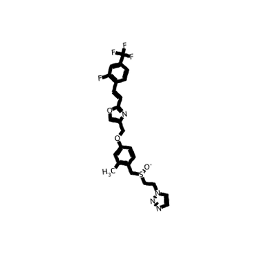 Cc1cc(OCc2coc(/C=C/c3ccc(C(F)(F)F)cc3F)n2)ccc1C[S+]([O-])CCn1ccnn1